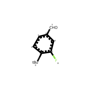 CC(C)(C)c1ccc(C=O)cc1F